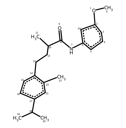 COc1cccc(NC(=O)C(C)CCc2ccc(C(C)C)cc2C)c1